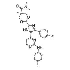 CN(C)C(=O)C1(C)COC(c2nc(-c3ccc(F)cc3)c(-c3ccnc(Nc4ccc(F)cc4)n3)[nH]2)OC1